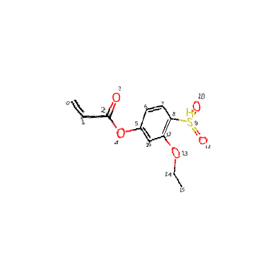 C=CC(=O)Oc1ccc([SH](=O)=O)c(OCC)c1